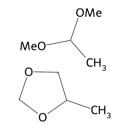 CC1COCO1.COC(C)OC